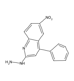 NNc1cc(-c2ccccc2)c2cc([N+](=O)[O-])ccc2n1